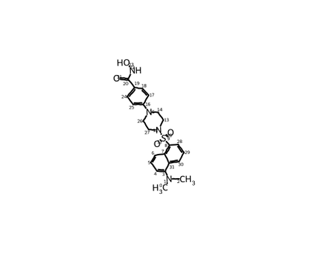 CN(C)c1cccc2c(S(=O)(=O)N3CCN(c4ccc(C(=O)NO)cc4)CC3)cccc12